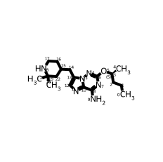 CCC[C@H](C)Oc1nc(N)c2ncc(CC3CCNC(C)(C)C3)n2n1